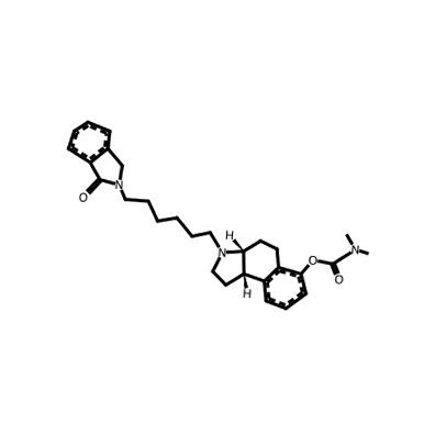 CN(C)C(=O)Oc1cccc2c1CC[C@@H]1[C@H]2CCN1CCCCCCN1Cc2ccccc2C1=O